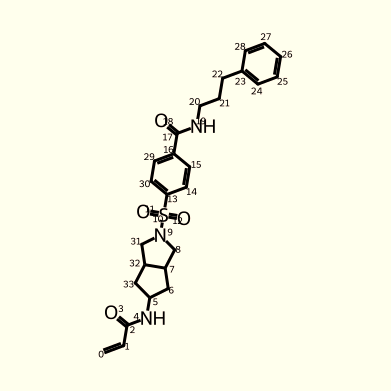 C=CC(=O)NC1CC2CN(S(=O)(=O)c3ccc(C(=O)NCCCc4ccccc4)cc3)CC2C1